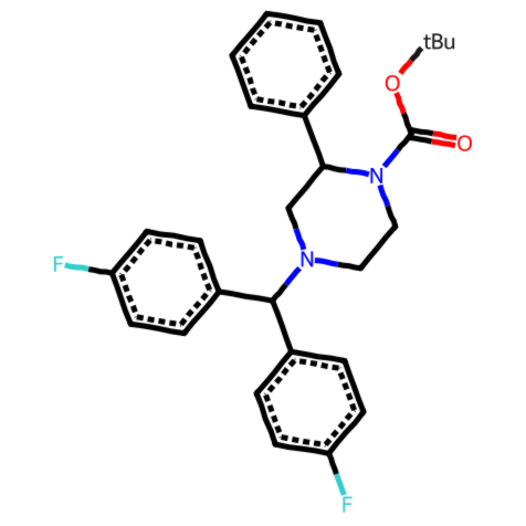 CC(C)(C)OC(=O)N1CCN(C(c2ccc(F)cc2)c2ccc(F)cc2)CC1c1ccccc1